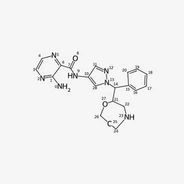 Nc1nccnc1C(=O)Nc1cnn(C(c2ccccc2)C2CNCCCO2)c1